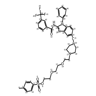 Cc1ccc(S(=O)(=O)OCCOCCOCCN2CCN(Cc3ccc4c(c3)nc(NC(=O)c3cccc(C(F)(F)F)c3)n4-c3ccccc3)CC2)cc1